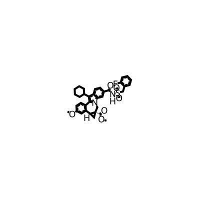 COC(=O)[C@]12C[C@H]1c1cc(OC)ccc1-c1c(C3CCCCC3)c3ccc(C(=O)NS(=O)(=O)Cc4ccccc4F)cc3n1C2